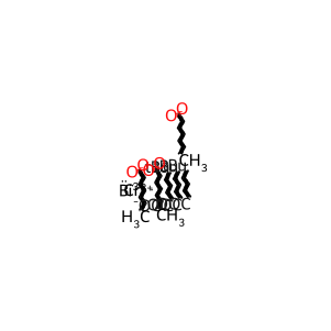 CC(C)(C)CCCCCC(=O)[O-].CC(C)(C)CCCCCC(=O)[O-].CC(C)(C)CCCCCC(=O)[O-].CCCCCCCC(=O)[O-].CCCCCCCC(=O)[O-].CCCCCCCC(=O)[O-].[Bi+3].[Cr+3]